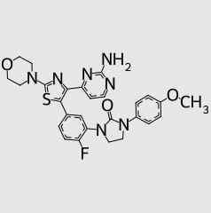 COc1ccc(N2CCN(c3cc(-c4sc(N5CCOCC5)nc4-c4ccnc(N)n4)ccc3F)C2=O)cc1